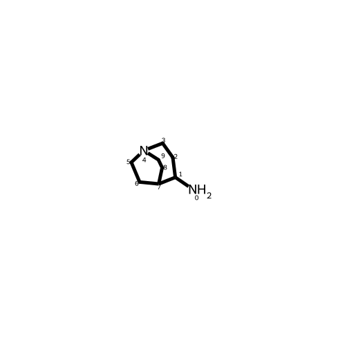 NC1CCN2CCC1CC2